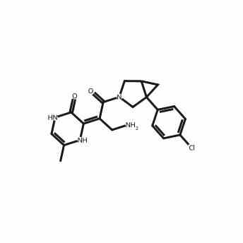 CC1=CNC(=O)/C(=C(/CN)C(=O)N2CC3CC3(c3ccc(Cl)cc3)C2)N1